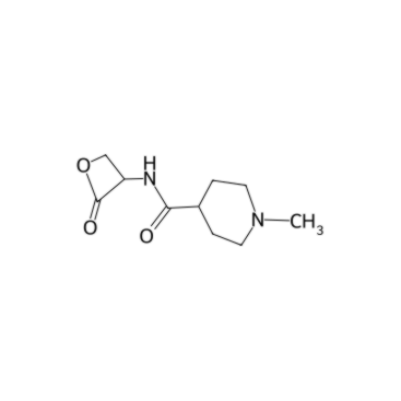 CN1CCC(C(=O)NC2COC2=O)CC1